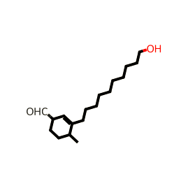 CC1CCC(C=O)C=C1CCCCCCCCCCO